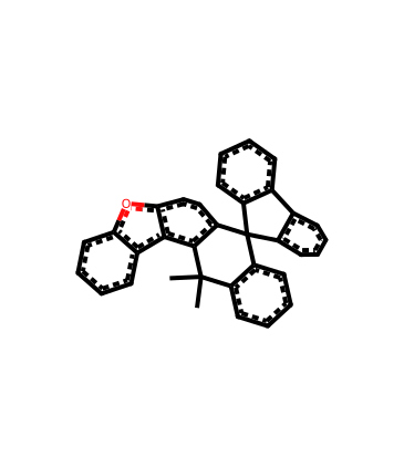 CC1(C)c2ccccc2C2(c3ccccc3-c3ccccc32)c2ccc3oc4ccccc4c3c21